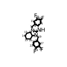 N=C1N(Cc2ccc(F)c(F)c2)C2CCCCC2N1Cc1ccc(F)c(F)c1